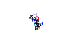 O=c1[nH]n(Cc2ccccc2)c2cc(F)c(NS(=O)(=O)c3ccc(F)cc3F)cc12